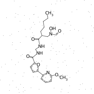 CCCCCC(CN(O)C=O)C(=O)NCNC(=O)c1ccc(-c2cccc(OC)n2)o1